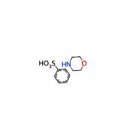 C1COCCN1.O=S(=O)(O)c1ccccc1